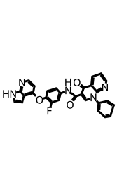 O=C(Nc1ccc(Oc2ccnc3[nH]ccc23)c(F)c1)c1cn(-c2ccccc2)c2ncccc2c1=O